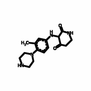 Cc1cc(NC2C(=O)CCNC2=O)ccc1N1CCNCC1